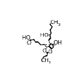 CCCCC[C@H](O)C=C[C@@H]1C(SCCCCCC(=O)O)=C(OC(=O)CCC)C[C@H]1O